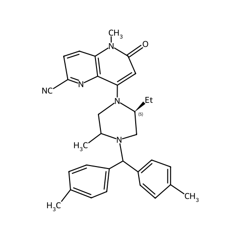 CC[C@H]1CN(C(c2ccc(C)cc2)c2ccc(C)cc2)C(C)CN1c1cc(=O)n(C)c2ccc(C#N)nc12